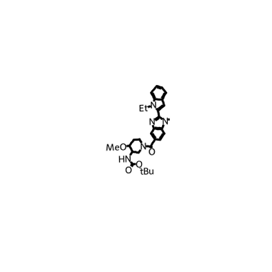 CCn1c(-c2nc3cc(C(=O)N4CCC(OC)C(NC(=O)OC(C)(C)C)C4)ccc3n2C)cc2ccccc21